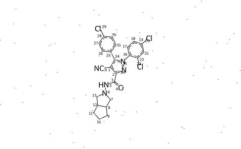 N#Cc1c(C(=O)NN2CC3CCCC3C2)nn(-c2ccc(Cl)cc2Cl)c1-c1ccc(Cl)cc1